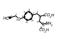 C#CCOc1ccc(CC(C[C@H](N)C(=O)O)C(=O)O)cc1